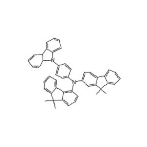 CC1(C)c2ccccc2-c2ccc(N(c3ccc(N4c5ccccc5C5C=CC=CC54)cc3)c3cccc4c3-c3ccccc3C4(C)C)cc21